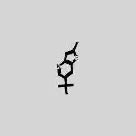 Cc1cc2ncc(C(C)(C)C)cc2s1